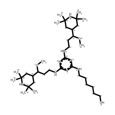 COC(CCNc1nc(NCCCCCCO)nc(NCCC(OC)C2CC(C)(C)NC(C)(C)C2)n1)C1CC(C)(C)NC(C)(C)C1